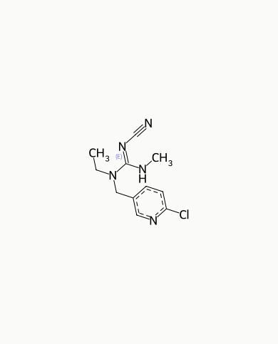 CCN(Cc1ccc(Cl)nc1)/C(=N/C#N)NC